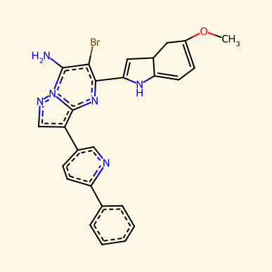 COC1=CC=C2NC(c3nc4c(-c5ccc(-c6ccccc6)nc5)cnn4c(N)c3Br)=CC2C1